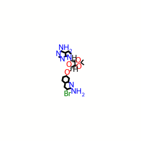 CC1(C)O[C@@H]2[C@@H](COc3ccc4cc(Br)c(N)nc4c3)OC(n3ccc4c(N)ncnc43)[C@@H]2O1